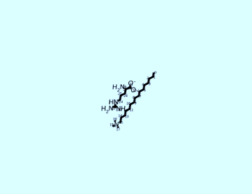 CCCCCCCCCCCCCCCC[N+](C)(C)C.N=C(N)NCCC[C@H](N)C(=O)[O-]